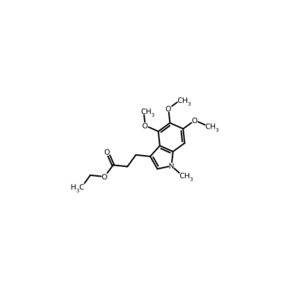 CCOC(=O)CCc1cn(C)c2cc(OC)c(OC)c(OC)c12